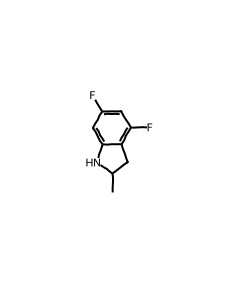 CC1Cc2c(F)cc(F)cc2N1